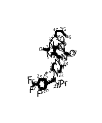 Cc1nc2c(N3C[C@@H](C)N([C@@H](c4ccc(C(F)F)c(F)c4)C(C)C)C[C@@H]3C)nc(=O)n(C)c2n1C[C@@H]1CCCO1